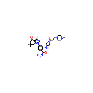 Cc1nn(-c2ccc(C(N)=O)c(NC3CN(C(=O)CCN4CCN(C)CC4)C3)c2)c2c1C(=O)CC(C)(C)C2